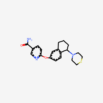 NC(=O)c1ccc(Oc2ccc3c(c2)CCCC3N2CCSCC2)nc1